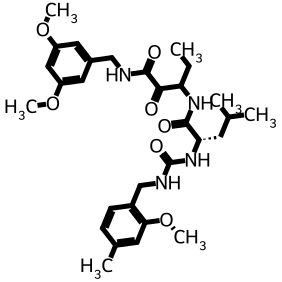 CCC(NC(=O)[C@H](CC(C)C)NC(=O)NCc1ccc(C)cc1OC)C(=O)C(=O)NCc1cc(OC)cc(OC)c1